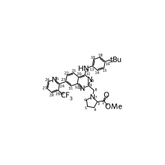 COC(=O)C1CCCN1Cc1nc(Nc2ccc(C(C)(C)C)cc2)c2ccc(-c3ncccc3C(F)(F)F)cc2n1